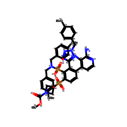 COc1ccc(CN(Cc2ccc(OC)cc2)S(=O)(=O)c2c(S(=O)(=O)C3CN(C(=O)OC(C)(C)C)C3)ccc(-c3ccnc(N)c3N)c2-c2nnn(Cc3ccc(OC)cc3)n2)cc1